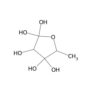 CC1OC(O)(O)C(O)C1(O)O